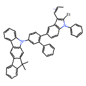 C/C=C\c1c(CC)n(-c2ccccc2)c2ccc(-c3ccc(-n4c5ccccc5c5cc6c(cc54)C(C)(C)c4ccccc4-6)cc3-c3ccccc3)cc12